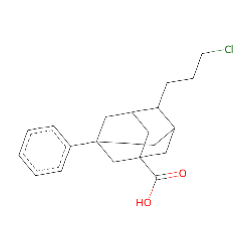 O=C(O)C12CC3CC(c4ccccc4)(CC(C1)C3CCCCl)C2